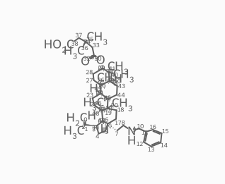 C=C(C)[C@@H]1CC[C@]2(CCNCc3ccccc3)CC[C@]3(C)[C@H](CC[C@@H]4[C@@]5(C)CC[C@H](OC(=O)CC(C)(C)CC(=O)O)C(C)(C)[C@@H]5CC[C@]43C)[C@@H]12